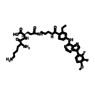 CCc1cc(Nc2nccn3c(-c4ccc(OC)c(F)c4F)cnc23)ccc1C(=O)NCCCNC(=O)CC[C@H](NC(=O)C(N)CCCCN)C(=O)O